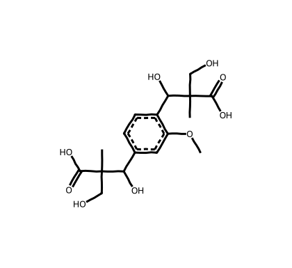 COc1cc(C(O)C(C)(CO)C(=O)O)ccc1C(O)C(C)(CO)C(=O)O